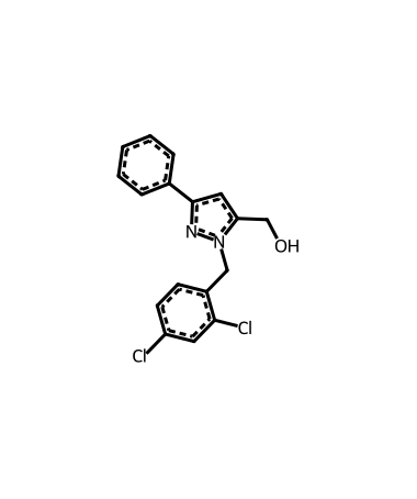 OCc1cc(-c2ccccc2)nn1Cc1ccc(Cl)cc1Cl